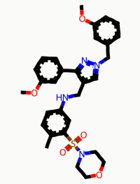 COc1cccc(Cn2cc(CNc3ccc(C)c(S(=O)(=O)N4CCOCC4)c3)c(-c3cccc(OC)c3)n2)c1